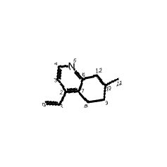 C=Cc1ccnc2c1CCC(C)C2